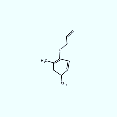 CC1=C(OCC=O)C=CC(C)C1